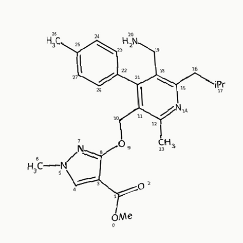 COC(=O)c1cn(C)nc1OCc1c(C)nc(CC(C)C)c(CN)c1-c1ccc(C)cc1